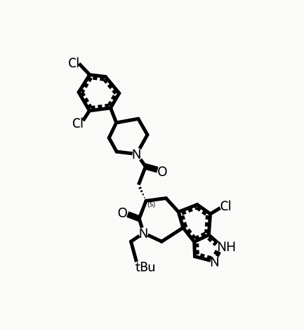 CC(C)(C)CN1Cc2c(cc(Cl)c3[nH]ncc23)C[C@@H](CC(=O)N2CCC(c3ccc(Cl)cc3Cl)CC2)C1=O